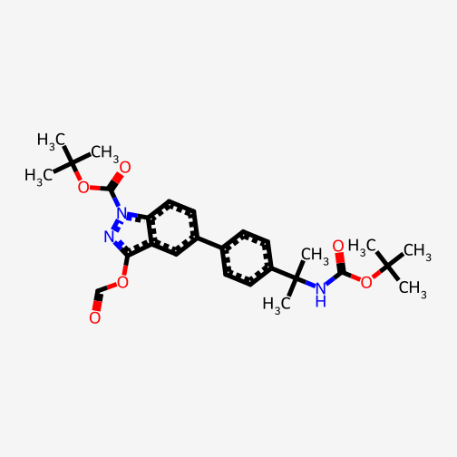 CC(C)(C)OC(=O)NC(C)(C)c1ccc(-c2ccc3c(c2)c(OC=O)nn3C(=O)OC(C)(C)C)cc1